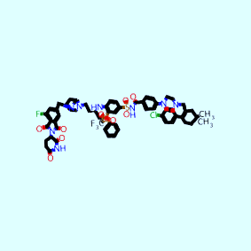 CC1(C)CCC(c2ccc(Cl)cc2)=C(CN2CCN(c3ccc(C(=O)NS(=O)(=O)c4ccc(N[C@H](CCN5CC6CCC5CN6Cc5cc(F)c6c(c5)C(=O)N(C5CCC(=O)NC5=O)C6=O)CSc5ccccc5)c(S(=O)(=O)C(F)(F)F)c4)cc3)CC2)C1